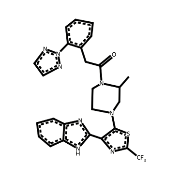 CC1CN(c2sc(C(F)(F)F)nc2-c2nc3ccccc3[nH]2)CCN1C(=O)Cc1ccccc1-n1nccn1